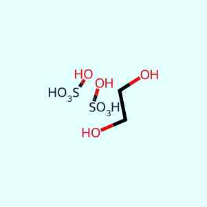 O=S(=O)(O)O.O=S(=O)(O)O.OCCO